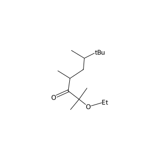 CCOC(C)(C)C(=O)C(C)CC(C)C(C)(C)C